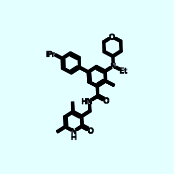 CCN(c1cc(-c2ccc(C(C)C)cc2)cc(C(=O)NCc2c(C)cc(C)[nH]c2=O)c1C)C1CCOCC1